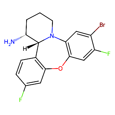 N[C@@H]1CCCN2c3cc(Br)c(F)cc3Oc3cc(F)ccc3[C@H]12